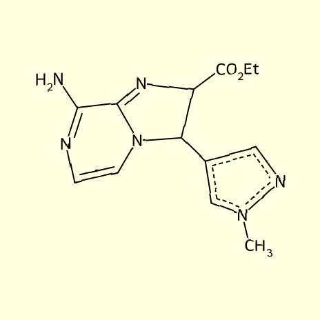 CCOC(=O)C1N=C2C(N)=NC=CN2C1c1cnn(C)c1